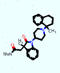 CNC(=O)CC1(C)C(=O)N(C2CCN(C3(C)CCCc4ccccc43)CC2)c2ccccc21